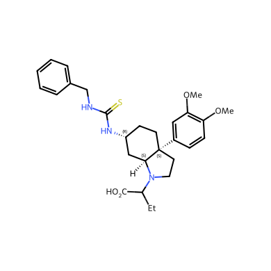 CCC(C(=O)O)N1CC[C@]2(c3ccc(OC)c(OC)c3)CC[C@@H](NC(=S)NCc3ccccc3)C[C@H]12